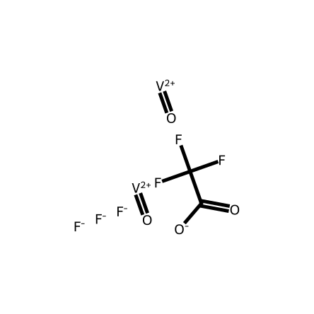 O=C([O-])C(F)(F)F.[F-].[F-].[F-].[O]=[V+2].[O]=[V+2]